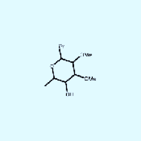 COC1C(O)C(C)OC(C(C)C)C1OC